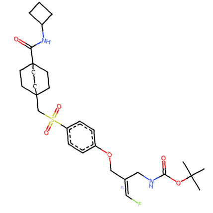 CC(C)(C)OC(=O)NC/C(=C\F)COc1ccc(S(=O)(=O)CC23CCC(C(=O)NC4CCC4)(CC2)CC3)cc1